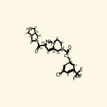 O=C(OCc1cc(Cl)cc(C(F)(F)F)c1)N1CCn2nc(C(=O)N3CC4CNCC4C3)cc2C1